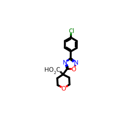 O=C(O)C1(c2nc(-c3ccc(Cl)cc3)no2)CCOCC1